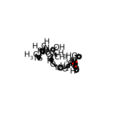 Cc1ncsc1-c1cnc([C@@H](C)NC(=O)[C@@H]2C[C@@H](O)CN2C(=O)[C@@H](c2cc(OCCN3CCC(OC4CC(Oc5cc(N6C7CC[C@@H]6CN(c6cc(-c8ccccc8O)nnc6N)C7)ccn5)C4)CC3)no2)C(C)C)cn1